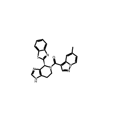 Cc1ccn2ncc(C(=O)N3CCc4[nH]cnc4[C@H]3c3nc4ccccc4s3)c2c1